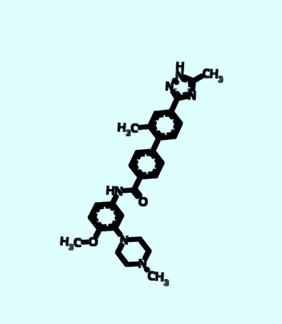 COc1ccc(NC(=O)c2ccc(-c3ccc(-c4n[nH]c(C)n4)cc3C)cc2)cc1N1CCN(C)CC1